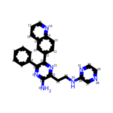 Nc1nc(-c2ccccc2)c(-c2ccc3ncccc3c2)nc1CCNc1cnccn1